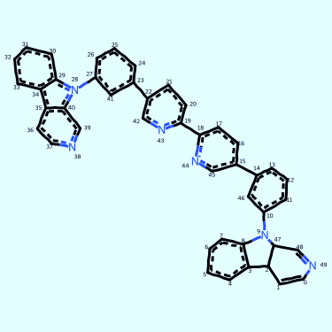 C1=CC2c3ccccc3N(c3cccc(-c4ccc(-c5ccc(-c6cccc(-n7c8ccccc8c8ccncc87)c6)cn5)nc4)c3)C2C=N1